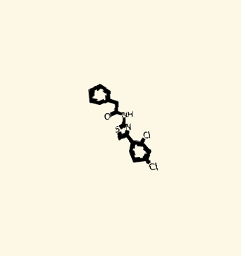 O=C(Cc1ccccc1)Nc1nc(-c2ccc(Cl)cc2Cl)cs1